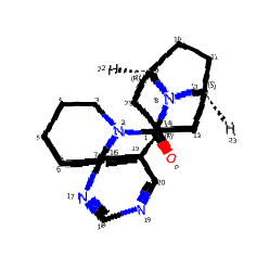 O=C(N1CCCCC1)N1[C@@H]2CC[C@H]1C[C@@H](c1cncnc1)C2